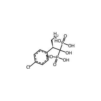 NC[C@H](c1ccc(Cl)cc1)C(O)(P(=O)(O)O)P(=O)(O)O